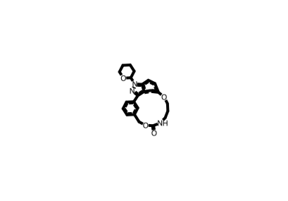 O=C1NCCCOc2ccc3c(c2)c(nn3C2CCCCO2)-c2cccc(c2)CO1